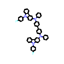 Fc1ccc(-n2c3c(c4ccccc42)=CC(N(c2ccccc2)c2ccc(-c4ccc(N(c5ccccc5)c5ccc6c(c5)c5ccccc5n6-c5ccc(F)cc5)cc4)cc2)CC=3)cc1